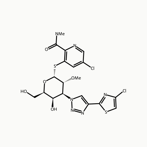 CNC(=O)c1ncc(Cl)cc1S[C@H]1O[C@H](CO)[C@H](O)[C@H](n2cc(-c3nc(Cl)cs3)nn2)[C@H]1OC